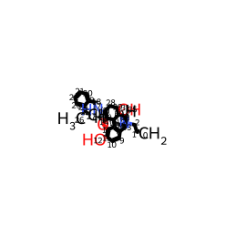 C=CCN1CC[C@]23c4c5ccc(O)c4O[C@H]2[C@@H](NCc2ccccc2C(C)C)CC[C@@]3(O)[C@H]1C5